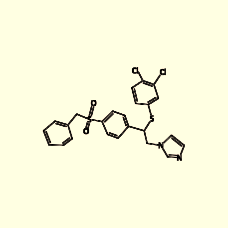 O=S(=O)(Cc1ccccc1)c1ccc(C(Cn2ccnc2)Sc2ccc(Cl)c(Cl)c2)cc1